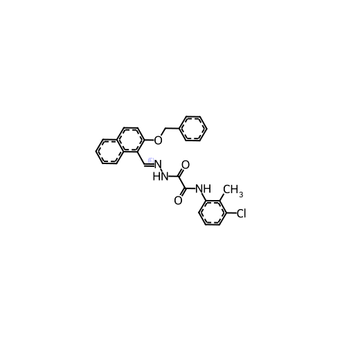 Cc1c(Cl)cccc1NC(=O)C(=O)N/N=C/c1c(OCc2ccccc2)ccc2ccccc12